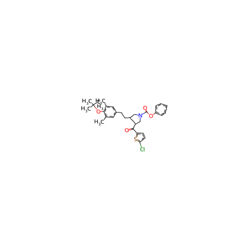 Cc1cc(CCC2CN(C(=O)Oc3ccccc3)CC2C(=O)c2ccc(Cl)s2)cc(C)c1OC(C)(C)C